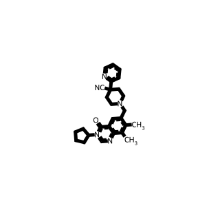 Cc1c(CN2CCC(C#N)(c3ccccn3)CC2)cc2c(=O)n(C3CCCC3)cnc2c1C